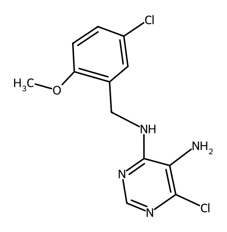 COc1ccc(Cl)cc1CNc1ncnc(Cl)c1N